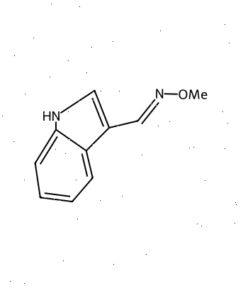 CON=Cc1c[nH]c2ccccc12